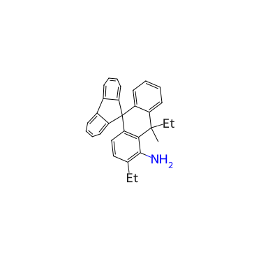 CCc1ccc2c(c1N)C(C)(CC)c1ccccc1C21c2ccccc2-c2ccccc21